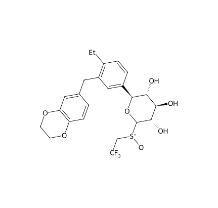 CCc1ccc([C@@H]2OC([S+]([O-])CC(F)(F)F)[C@@H](O)[C@H](O)[C@H]2O)cc1Cc1ccc2c(c1)OCCO2